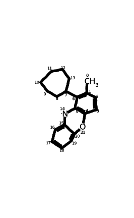 Cc1ccc2c(c1C1CCCCCC1)[N]c1ccccc1O2